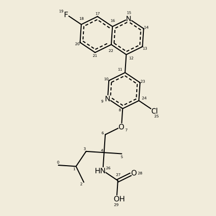 CC(C)CC(C)(COc1ncc(-c2ccnc3cc(F)ccc23)cc1Cl)NC(=O)O